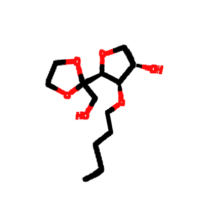 CCCCCO[C@@H]1[C@@H](O)CO[C@@H]1C1(CO)OCCO1